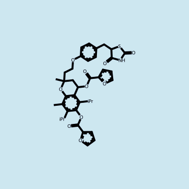 Cc1c2c(c(C(C)C)c(OC(=O)c3ccco3)c1C(C)C)C(OC(=O)c1ccco1)CC(C)(CCOc1ccc(CC3SC(=O)NC3=O)cc1)O2